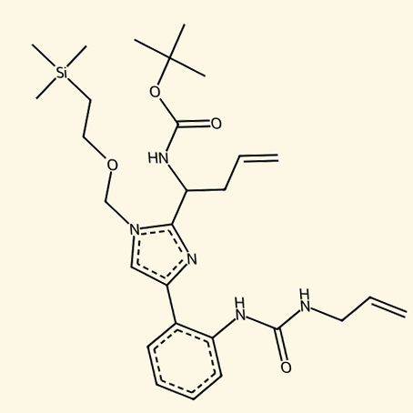 C=CCNC(=O)Nc1ccccc1-c1cn(COCC[Si](C)(C)C)c(C(CC=C)NC(=O)OC(C)(C)C)n1